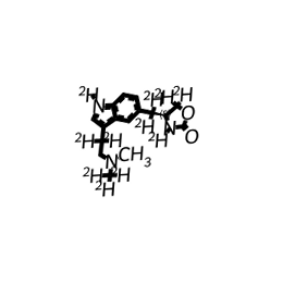 [2H]N1C(=O)OC([2H])([2H])[C@@H]1C([2H])([2H])c1ccc2c(c1)c(C([2H])([2H])CN(C)C([2H])([2H])[2H])cn2[2H]